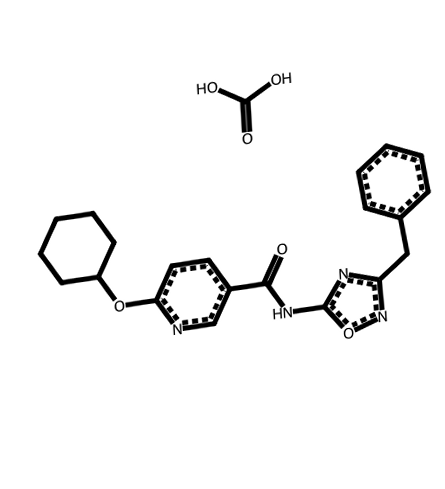 O=C(Nc1nc(Cc2ccccc2)no1)c1ccc(OC2CCCCC2)nc1.O=C(O)O